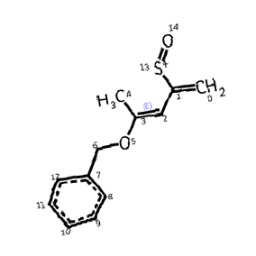 C=C(/C=C(\C)OCc1ccccc1)[S+]=O